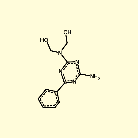 Nc1nc(-c2ccccc2)nc(N(CO)CO)n1